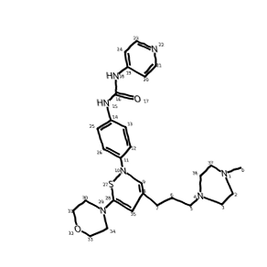 CN1CCN(CCCC2=CN(c3ccc(NC(=O)Nc4ccncc4)cc3)SC(N3CCOCC3)=C2)CC1